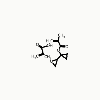 C=C(C)C(=O)O.C=C(C)C(=O)OC1(C2CO2)CC1